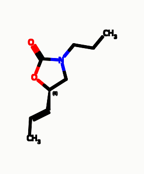 CC=C[C@@H]1CN(CCC)C(=O)O1